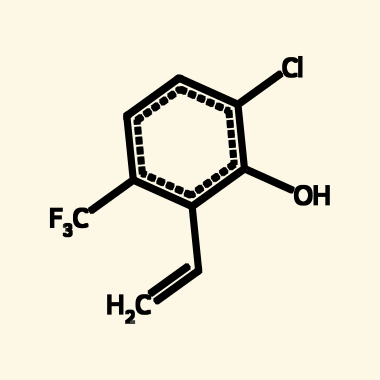 C=Cc1c(C(F)(F)F)ccc(Cl)c1O